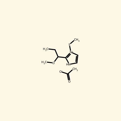 CC(=O)[O-].CCC(OC)c1[nH]cc[n+]1SC